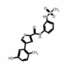 Cc1ccc(O)cc1-c1csc(C(=O)Nc2cccc(NS(C)(=O)=O)c2)c1